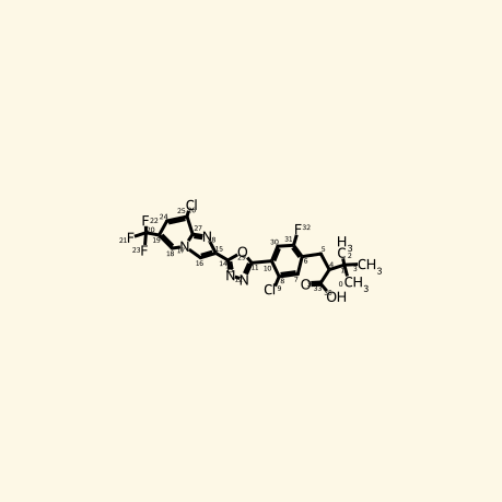 CC(C)(C)C(Cc1cc(Cl)c(-c2nnc(-c3cn4cc(C(F)(F)F)cc(Cl)c4n3)o2)cc1F)C(=O)O